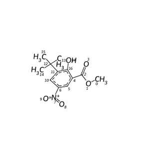 COC(=O)c1cc([N+](=O)[O-])cc(C(C)(C)C)c1O